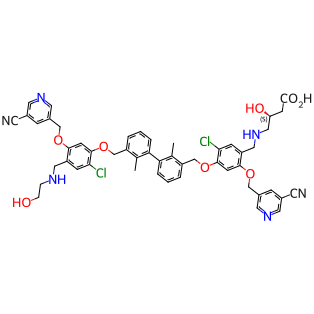 Cc1c(COc2cc(OCc3cncc(C#N)c3)c(CNCCO)cc2Cl)cccc1-c1cccc(COc2cc(OCc3cncc(C#N)c3)c(CNC[C@@H](O)CC(=O)O)cc2Cl)c1C